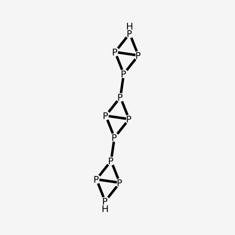 [pH]1p2p(-p3p4p(-p5p6[pH]p56)p34)p12